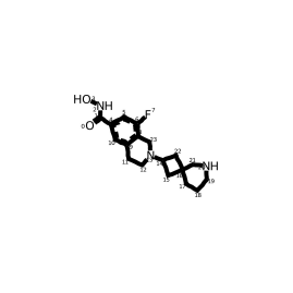 O=C(NO)c1cc(F)c2c(c1)CCN(C1CC3(CCCNC3)C1)C2